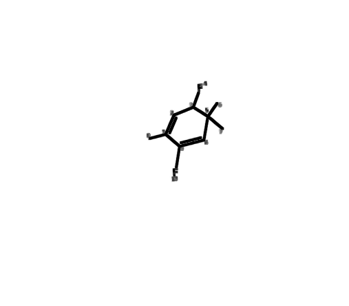 CC1=CC(F)C(C)(C)C=C1F